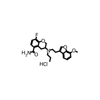 CCCN(CCc1coc2c(OC)cccc12)C1COc2c(F)ccc(C(N)=O)c2C1.Cl